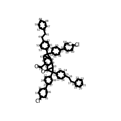 O=C1OC23c4c1c1c5c(c4C2C3(c2ccc(CCc3ccccc3)cc2)c2ccc(-c3ccc(Cl)cc3)cc2)C(c2ccc(CCc3ccccc3)cc2)(c2ccc(-c3ccc(Cl)cc3)cc2)C15